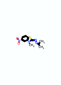 CC(C)=NN=c1sc2ccc([N+](=O)[O-])cc2n1C